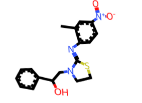 Cc1cc([N+](=O)[O-])ccc1N=C1SCCN1CC(O)c1ccccc1